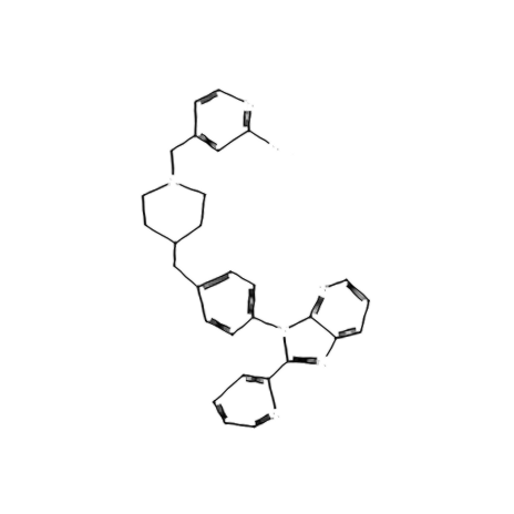 Nc1cc(CN2CCC(Cc3ccc(-n4c(-c5ccccn5)nc5cccnc54)cc3)CC2)ccn1